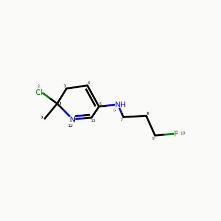 CC1(Cl)CC=C(NCCCF)C=N1